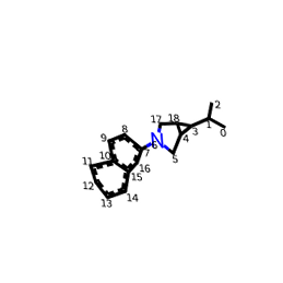 CC(C)C1C2CN(c3ccc4ccccc4c3)CC21